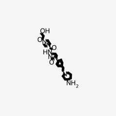 NC1CCCN(CCc2ccc(-n3ccc(NC(=O)N4CCN(C(=O)CCO)CC4)nc3=O)cc2)CC1